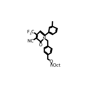 CCCCCCCCOCc1ccc(Cn2c(-c3cccc(C)c3)cc(C(F)(F)F)c(C#N)c2=O)cc1